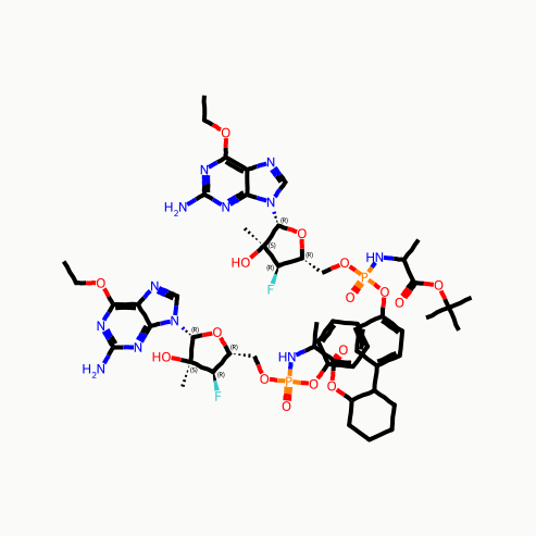 CCOc1nc(N)nc2c1ncn2[C@@H]1O[C@H](COP(=O)(NC(C)C(=O)OC2CCCCC2c2ccc(OP(=O)(NC(C)C(=O)OC(C)(C)C)OC[C@H]3O[C@@H](n4cnc5c(OCC)nc(N)nc54)[C@](C)(O)[C@@H]3F)cc2)Oc2ccccc2)[C@@H](F)[C@@]1(C)O